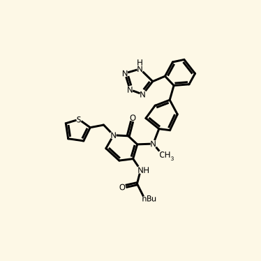 CCCCC(=O)Nc1ccn(Cc2cccs2)c(=O)c1N(C)c1ccc(-c2ccccc2-c2nnn[nH]2)cc1